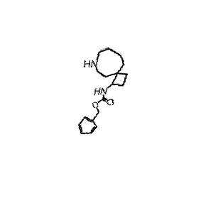 O=C(NC1CCC12CCCCNCC2)OCc1ccccc1